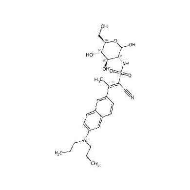 CCCN(CCC)c1ccc2cc(/C(C)=C(\C#N)S(=O)(=O)N[C@H]3C(O)O[C@H](CO)[C@@H](O)[C@@H]3O)ccc2c1